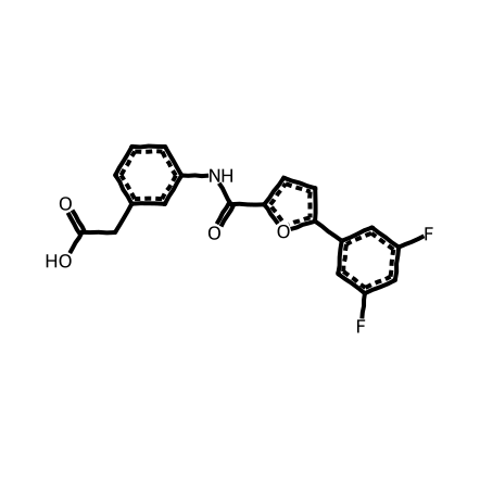 O=C(O)Cc1cccc(NC(=O)c2ccc(-c3cc(F)cc(F)c3)o2)c1